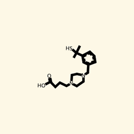 CC(C)(S)c1cccc(CN2CCN(CCCC(=O)O)CC2)c1